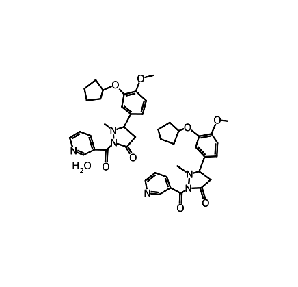 COc1ccc(C2CC(=O)N(C(=O)c3cccnc3)N2C)cc1OC1CCCC1.COc1ccc(C2CC(=O)N(C(=O)c3cccnc3)N2C)cc1OC1CCCC1.O